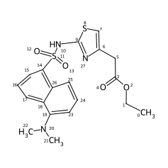 CCOC(=O)Cc1csc(NS(=O)(=O)c2cccc3c(N(C)C)cccc23)n1